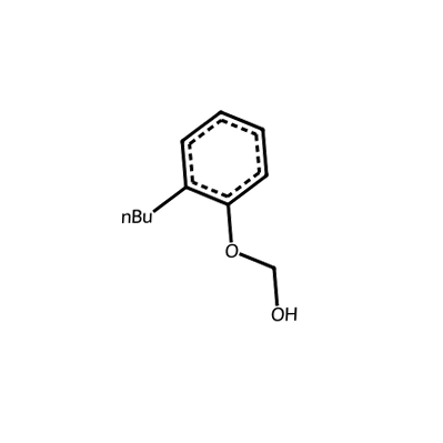 CCCCc1ccccc1OCO